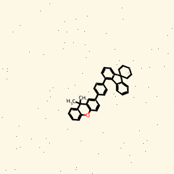 CC1(C)c2ccccc2Oc2ccc(-c3ccc(-c4cccc5c4-c4ccccc4C54CCCCC4)cc3)cc21